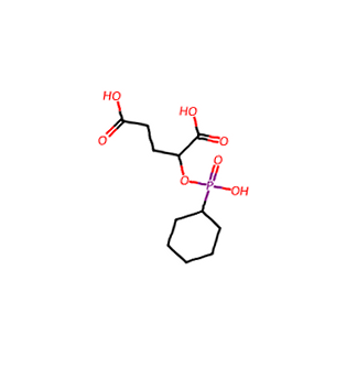 O=C(O)CCC(OP(=O)(O)C1CCCCC1)C(=O)O